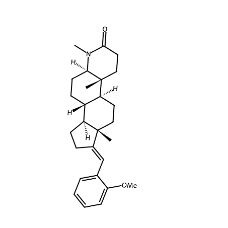 COc1ccccc1/C=C1\CC[C@H]2[C@@H]3CC[C@H]4N(C)C(=O)CC[C@]4(C)[C@H]3CC[C@]12C